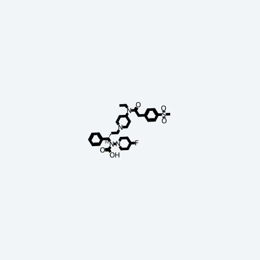 CCN(C(=O)Cc1ccc(S(C)(=O)=O)cc1)C1CCN(CC[C@@H](c2ccccc2)N(C(=O)O)N2CCC(F)CC2)CC1